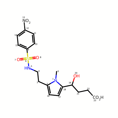 Cn1c(CCNS(=O)(=O)c2ccc([N+](=O)[O-])cc2)ccc1C(O)CCC(=O)O